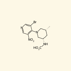 C[C@@H]1C[C@H](NC(=O)O)CN(c2c(Br)cncc2[N+](=O)[O-])C1